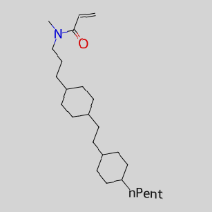 C=CC(=O)N(C)CCCC1CCC(CCC2CCC(CCCCC)CC2)CC1